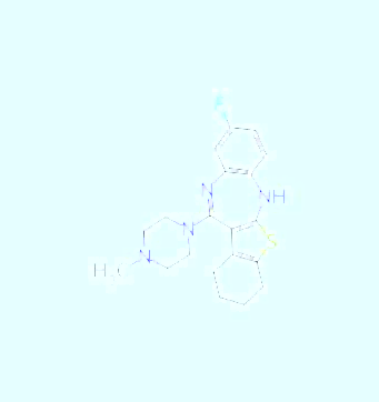 CN1CCN(C2=Nc3cc(F)ccc3Nc3sc4c(c32)CCCC4)CC1